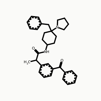 CC(C(=O)NC1CCC(Cc2ccccc2)(N2CCCC2)CC1)c1cccc(C(=O)c2ccccc2)c1